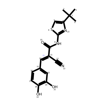 CC(C)(C)c1csc(NC(=O)/C(C#N)=C/c2ccc(O)c(O)c2)n1